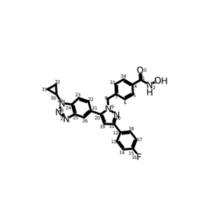 O=C(NO)c1ccc(Cn2nc(-c3ccc(F)cc3)cc2-c2ccc3c(c2)nnn3C2CC2)cc1